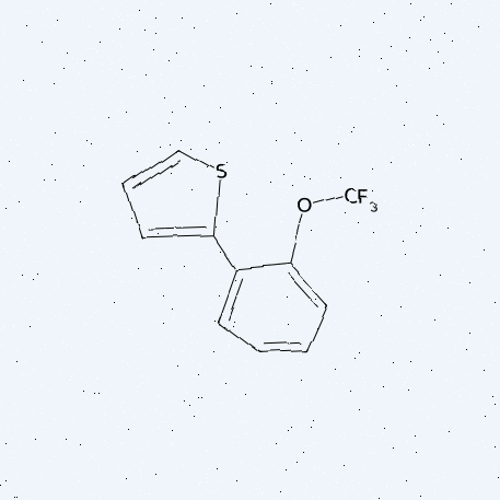 FC(F)(F)Oc1ccccc1-c1cccs1